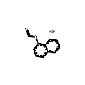 O=COc1cccc2ccccc12.[NaH]